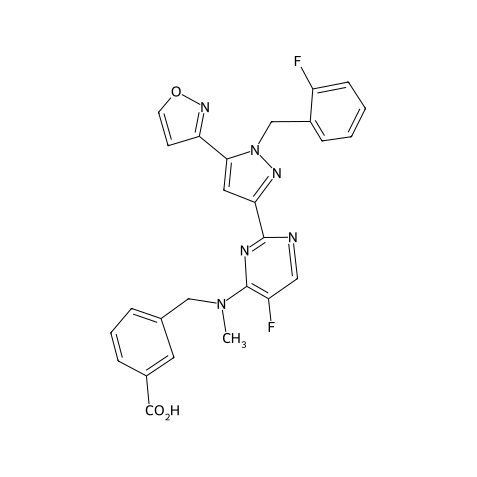 CN(Cc1cccc(C(=O)O)c1)c1nc(-c2cc(-c3ccon3)n(Cc3ccccc3F)n2)ncc1F